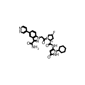 NC(=O)c1nn(CC(=O)N2C[C@H](F)C[C@H]2C(=O)Nc2cc(=O)[nH]n2C2CCCCC2)c2ccc(-c3ccnnc3)cc12